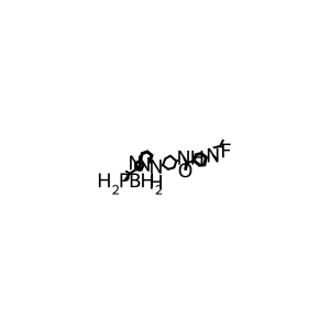 BC(C)(P)c1cn2c(NC3CCC(NC(=O)c4ccc(N(C)CC(C)F)cc4)CC3)cccc2n1